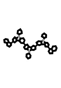 c1ccc(-n2c3ccc(-c4ccc5c(c4)c4cc(-c6cccc7ccccc67)ccc4n5-c4ccccc4)cc3c3cc(-c4ccc5c(c4)c4cc(-c6cccc7ccccc67)ccc4n5-c4ccccc4)ccc32)cc1